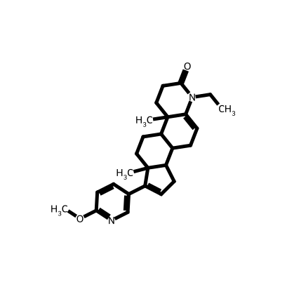 CCN1C(=O)CCC2(C)C1=CCC1C3CC=C(c4ccc(OC)nc4)C3(C)CCC12